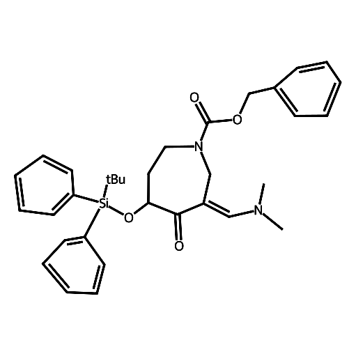 CN(C)/C=C1\CN(C(=O)OCc2ccccc2)CCC(O[Si](c2ccccc2)(c2ccccc2)C(C)(C)C)C1=O